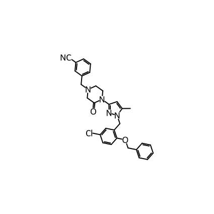 Cc1cc(N2CCN(Cc3cccc(C#N)c3)CC2=O)nn1Cc1cc(Cl)ccc1OCc1ccccc1